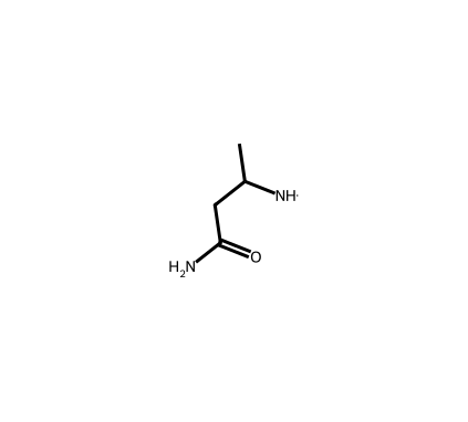 CC([NH])CC(N)=O